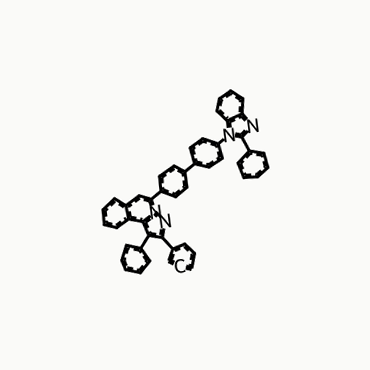 c1ccc(-c2nn3c(-c4ccc(-c5ccc(-n6c(-c7ccccc7)nc7ccccc76)cc5)cc4)cc4ccccc4c3c2-c2ccccc2)cc1